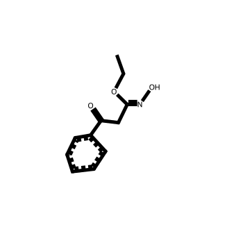 CCOC(CC(=O)c1ccccc1)=NO